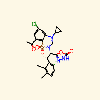 CC(=O)c1cc(Cl)cc2c1S(=O)(=O)N([C@H](c1n[nH]c(=O)o1)[C@@H](C)c1c(F)ccc(C)c1C)CN2C1CC1